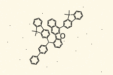 CC1(C)c2ccccc2-c2ccc(-c3c4ccccc4cc4c3oc3cccc(C(c5ccc(-c6ccccc6)cc5)c5ccc6c(c5)C(C)(C)c5ccccc5-6)c34)cc21